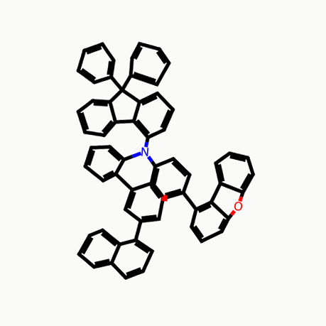 c1ccc(C2(c3ccccc3)c3ccccc3-c3c(N(c4ccc(-c5cccc6oc7ccccc7c56)cc4)c4ccccc4-c4cccc(-c5cccc6ccccc56)c4)cccc32)cc1